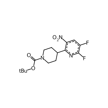 CC(C)(C)OC(=O)N1CCC(c2nc(F)c(F)cc2[N+](=O)[O-])CC1